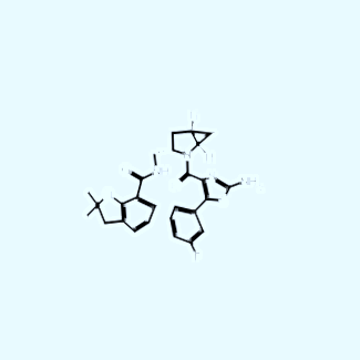 CC1(C)Cc2cccc(C(=O)NC[C@@H]3C[C@@H]4C[C@@H]4N3C(=O)c3nc(N)sc3-c3cccc(F)c3)c2O1